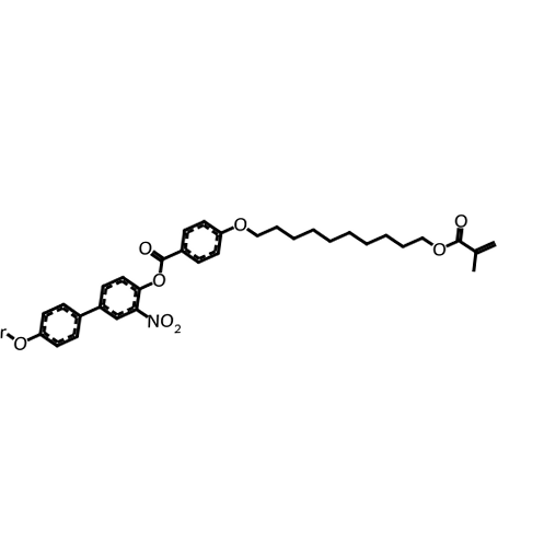 C=C(C)C(=O)OCCCCCCCCCCOc1ccc(C(=O)Oc2ccc(-c3ccc(OCCC)cc3)cc2[N+](=O)[O-])cc1